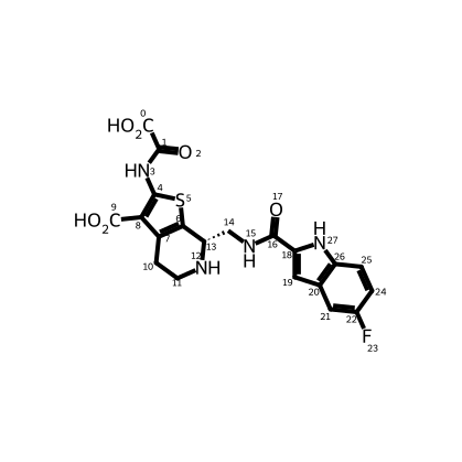 O=C(O)C(=O)Nc1sc2c(c1C(=O)O)CCN[C@H]2CNC(=O)c1cc2cc(F)ccc2[nH]1